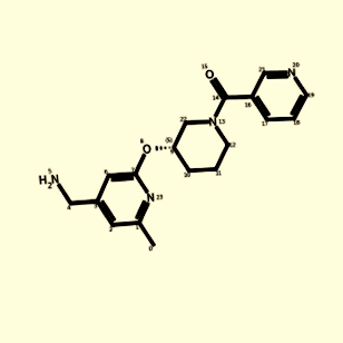 Cc1cc(CN)cc(O[C@H]2CCCN(C(=O)c3cccnc3)C2)n1